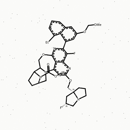 CCc1cccc2cc(OCOC)cc(-c3nc4c5c(nc(OC[C@]67CCCN6C[C@H](F)C7)nc5c3F)N3CC5CCC(C3CO4)N5C(=O)OC(C)(C)C)c12